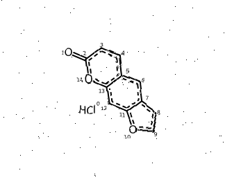 Cl.O=c1ccc2cc3ccoc3cc2o1